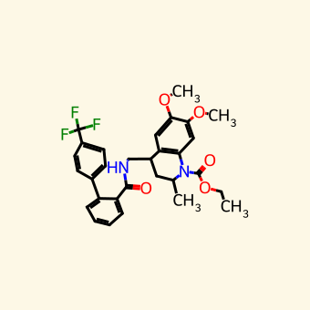 CCOC(=O)N1c2cc(OC)c(OC)cc2C(CNC(=O)c2ccccc2-c2ccc(C(F)(F)F)cc2)CC1C